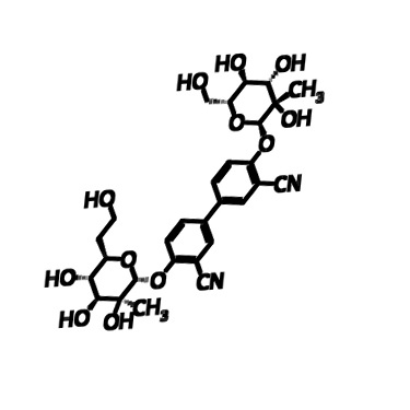 C[C@@]1(O)[C@@H](Oc2ccc(-c3ccc(O[C@H]4O[C@H](CCO)[C@@H](O)[C@H](O)[C@]4(C)O)c(C#N)c3)cc2C#N)O[C@H](CO)[C@@H](O)[C@@H]1O